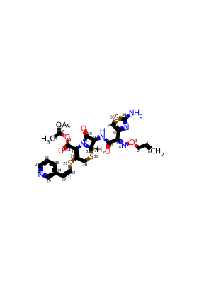 C=CCO/N=C(/C(=O)NC1C(=O)N2C(C(=O)OC(C)OC(C)=O)=C(S/C=C\c3cccnc3)CS[C@H]12)c1csc(N)n1